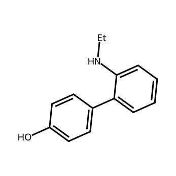 CCNc1ccccc1-c1ccc(O)cc1